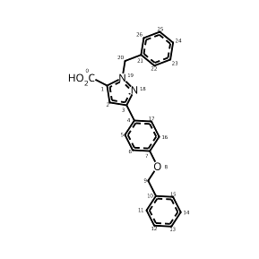 O=C(O)c1cc(-c2ccc(OCc3ccccc3)cc2)nn1Cc1ccccc1